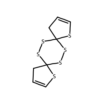 C1=CSC2(C1)SSC1(CC=CS1)SS2